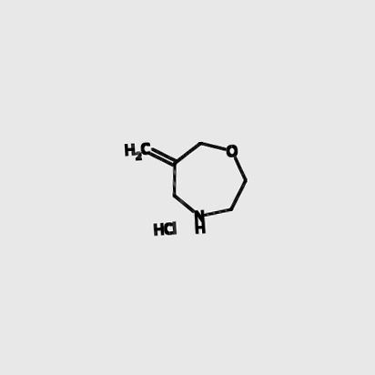 C=C1CNCCOC1.Cl